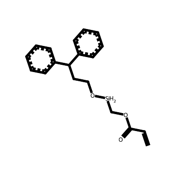 C=CC(=O)OC[SiH2]OCCC(c1ccccc1)c1ccccc1